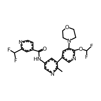 Cc1ncc(NC(=O)c2ccnc(C(F)F)c2)cc1-c1cnc(OC(F)F)c(N2CCOCC2)c1